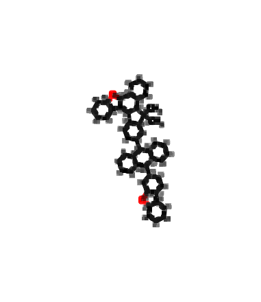 CC1(C)c2cc(-c3c4ccccc4c(-c4ccc5c(c4)oc4ccccc45)c4ccccc34)ccc2-c2c1c1ccccc1c1oc3ccccc3c21